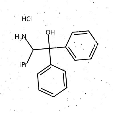 CC(C)C(N)C(O)(c1ccccc1)c1ccccc1.Cl